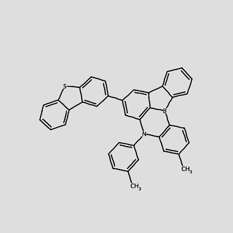 Cc1cccc(N2c3cc(C)ccc3B3c4ccccc4-c4cc(-c5ccc6sc7ccccc7c6c5)cc2c43)c1